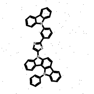 c1ccc(-n2c3ccccc3c3ccc4c(c5ccccc5n4-c4cnc(-c5cccc(-n6c7ccccc7c7ccccc76)c5)s4)c32)cc1